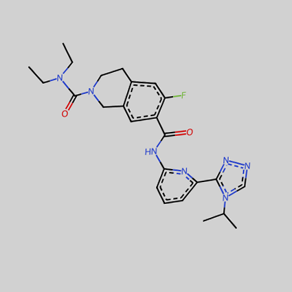 CCN(CC)C(=O)N1CCc2cc(F)c(C(=O)Nc3cccc(-c4nncn4C(C)C)n3)cc2C1